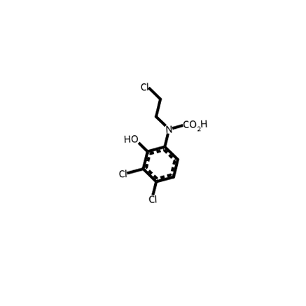 O=C(O)N(CCCl)c1ccc(Cl)c(Cl)c1O